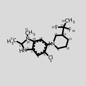 CC1Nc2cc(Cl)c(N3CCCC(C(C)(F)F)C3)cc2N1C